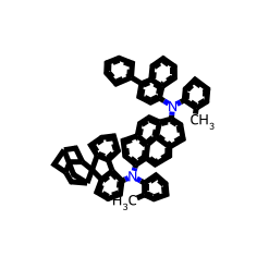 Cc1ccccc1N(c1cccc2c1-c1ccccc1C21C2CC3CC(C2)CC1C3)c1ccc2ccc3c(N(c4ccccc4C)c4ccc(-c5ccccc5)c5ccccc45)ccc4ccc1c2c43